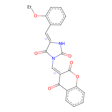 CCOc1ccccc1/C=C1\NC(=O)N(/C=C2\C(=O)Oc3ccccc3C2=O)C1=O